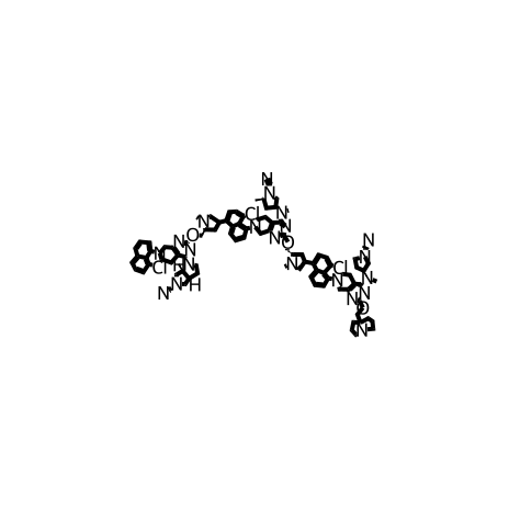 C[C@@H]1C[C@@H](N(C)c2nc(OC[C@@H]3CC(c4ccc(Cl)c5c(N6CCc7c(nc(OCC89CCCN8CCC9)nc7N(C)[C@@H]7CCN(C#N)C7)C6)cccc45)CN3C)nc3c2CCN(c2cccc4c(C5C[C@@H](COc6nc7c(c(N8CC[C@@H]9CN(C#N)C[C@@H]98)n6)CCN(c6cccc8cccc(Cl)c68)C7)N(C)C5)ccc(Cl)c24)C3)CN1C#N